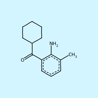 Cc1cccc(C(=O)C2CCCCC2)c1N